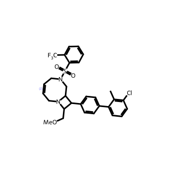 COCC1C(c2ccc(-c3cccc(Cl)c3C)cc2)C2CN(S(=O)(=O)c3ccccc3C(F)(F)F)C/C=C\CN12